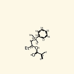 C=C(C)C(=O)OC(CC)C[Si](C)(C)c1ccccc1